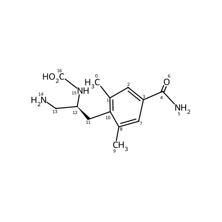 Cc1cc(C(N)=O)cc(C)c1C[C@@H](CN)NC(=O)O